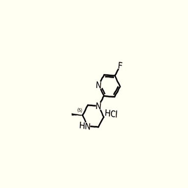 C[C@H]1CN(c2ccc(F)cn2)CCN1.Cl